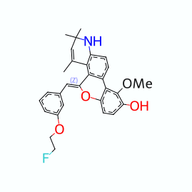 COc1c(O)ccc2c1-c1ccc3c(c1/C(=C/c1cccc(OCCF)c1)O2)C(C)=CC(C)(C)N3